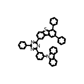 c1ccc(-c2cc(-c3ccccc3)c3sc4ccc(-c5nc(-c6ccccc6)nc(-c6cccc(-n7c8ccccc8c8ccccc87)c6)n5)cc4c3c2)cc1